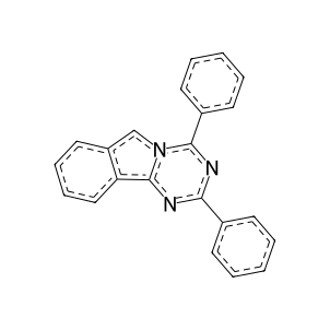 c1ccc(-c2nc(-c3ccccc3)n3cc4ccccc4c3n2)cc1